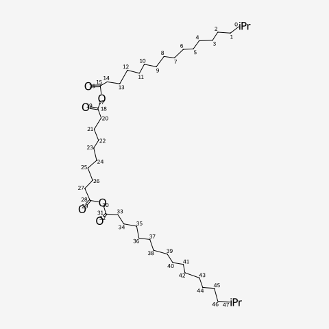 CC(C)CCCCCCCCCCCCCCC(=O)OC(=O)CCCCCCCCC(=O)OC(=O)CCCCCCCCCCCCCCC(C)C